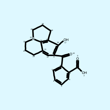 O=C(O)c1ccccc1C(=O)c1cc2c3c(c1O)CCCN3CCC2